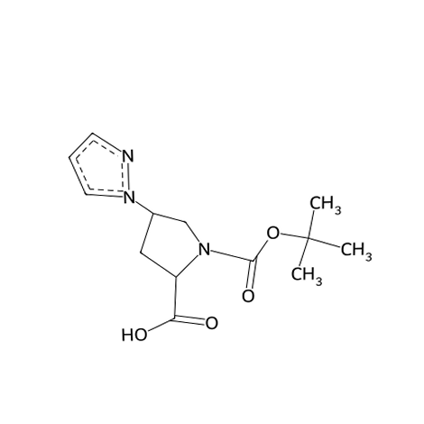 CC(C)(C)OC(=O)N1CC(n2cccn2)CC1C(=O)O